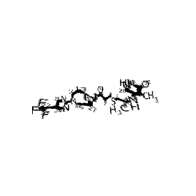 Cc1c(N[C@H](C)CSCCC(=O)N2CCN(c3ncc(C(F)(F)F)cn3)CC2)cn[nH]c1=O